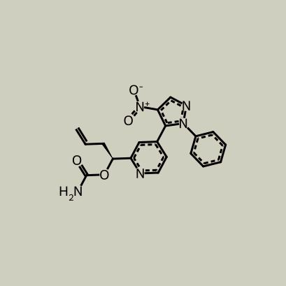 C=CC[C@H](OC(N)=O)c1cc(-c2c([N+](=O)[O-])cnn2-c2ccccc2)ccn1